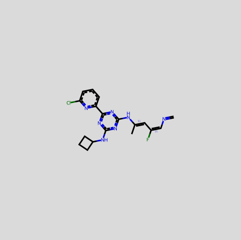 C=N/C=C(F)\C=C(/C)Nc1nc(NC2CCC2)nc(-c2cccc(Cl)n2)n1